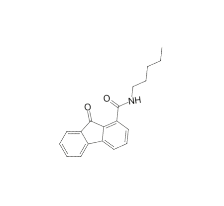 CCCCCNC(=O)c1cccc2c1C(=O)c1ccccc1-2